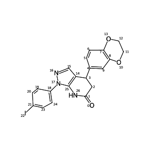 O=C1CC(c2ccc3c(c2)OCCO3)c2cnn(-c3ccc(I)cc3)c2N1